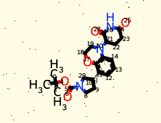 CC(C)(C)OC(=O)N1CC[C@@H](c2cccc3c2OCCN3C2CCC(=O)NC2=O)C1